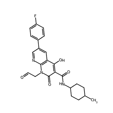 CC1CCC(NC(=O)c2c(O)c3cc(-c4ccc(F)cc4)cnc3n(CC=O)c2=O)CC1